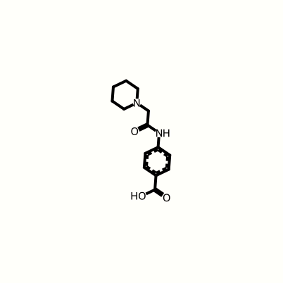 O=C(CN1CCCCC1)Nc1ccc(C(=O)O)cc1